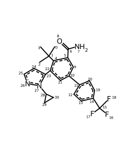 CC(C)(C)c1c(C(N)=O)cc(-c2ccc(C(F)(F)F)cc2)cc1-c1ccnn1C1CC1